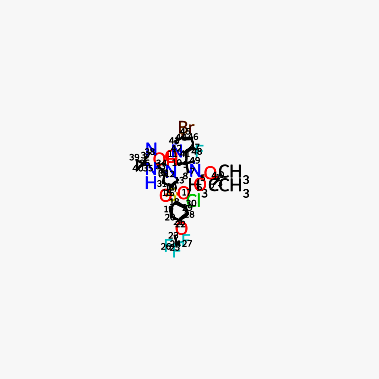 CC(C)(C)OC(=O)N1CC(C(=O)N2C[C@H](S(=O)(=O)c3ccc(OCC(F)(F)F)cc3Cl)C[C@H]2C(O)NC2(C#N)CC2)(c2ncc(Br)cc2F)C1